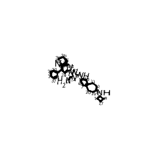 Nc1nc(Nc2ccc3c(c2)CCC(NC2CCC2)CC3)nn1-c1cc(-c2ccccc2)c2c(n1)C1CCN2CC1